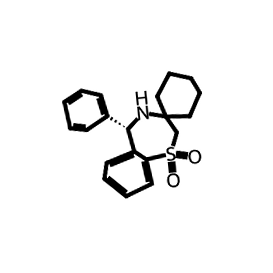 O=S1(=O)CC2(CCCCC2)N[C@@H](c2ccccc2)c2ccccc21